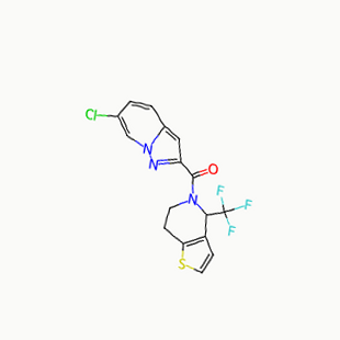 O=C(c1cc2ccc(Cl)cn2n1)N1CCc2sccc2C1C(F)(F)F